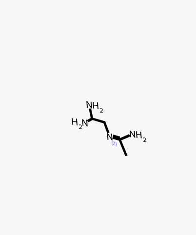 C/C(N)=N/CC(N)N